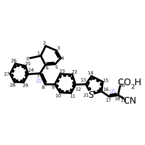 CC1CC=CC=C1/C(=C\c1ccc(-c2ccc(/C=C(/C#N)C(=O)O)s2)cc1)c1ccccc1